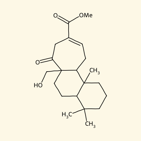 COC(=O)C1=CCC2C(CO)(CCC3C(C)(C)CCCC32C)C(=O)C1